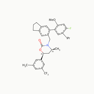 COc1cc(F)c(C(C)C)cc1-c1cc2c(cc1CN1C(=O)O[C@H](c3cc(C)cc(C(F)(F)F)c3)C[C@@H]1C)CCC2